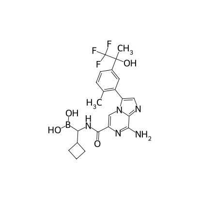 Cc1ccc(C(C)(O)C(F)(F)F)cc1-c1cnc2c(N)nc(C(=O)NC(B(O)O)C3CCC3)cn12